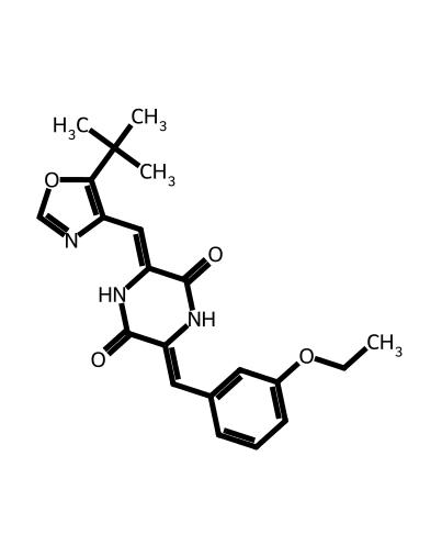 CCOc1cccc(/C=c2\[nH]c(=O)/c(=C/c3ncoc3C(C)(C)C)[nH]c2=O)c1